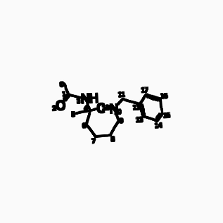 CC(=O)NC1(C)CCCCN(Cc2ccccc2)C1